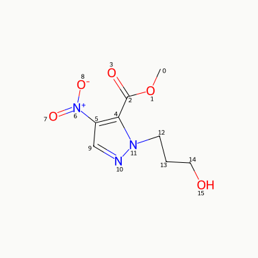 COC(=O)c1c([N+](=O)[O-])cnn1CCCO